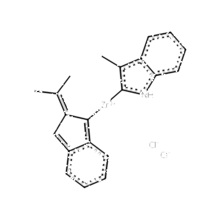 CC(C)=C1C=c2ccccc2=[C]1[Zr+2][c]1[nH]c2ccccc2c1C.[Cl-].[Cl-]